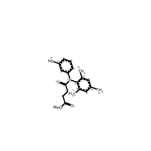 COC(=O)CCC(=O)N(c1cccc(O)c1)c1c(C)cc(C)cc1C